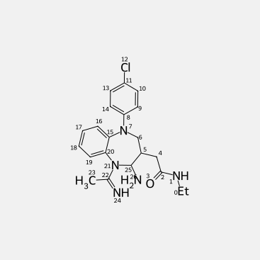 CCNC(=O)CC1CN(c2ccc(Cl)cc2)c2ccccc2N(C(C)=N)C1N